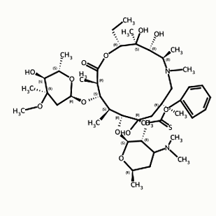 CC[C@H]1OC(=O)[C@H](C)[C@@H](O[C@H]2C[C@@](C)(OC)[C@@H](O)[C@H](C)O2)[C@H](C)[C@@H](O[C@@H]2O[C@H](C)CC(N(C)C)[C@H]2OC(=S)Oc2ccccc2)[C@](C)(O)C[C@@H](C)CN(C)[C@H](C)[C@@H](O)[C@]1(C)O